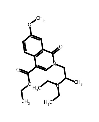 CCOC(=O)c1cn(CC(C)N(CC)CC)c(=O)c2cc(OC)ccc12